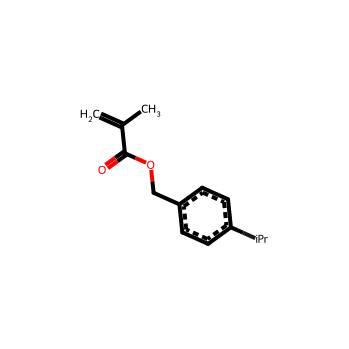 C=C(C)C(=O)OCc1ccc(C(C)C)cc1